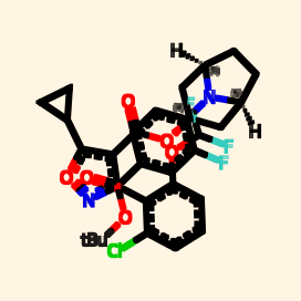 CC(C)(C)OC(=O)c1ccc(N2[C@@H]3CC[C@H]2C[C@@H](OC(=O)c2c(-c4c(Cl)cccc4OC(F)F)noc2C2CC2)C3)c(F)c1